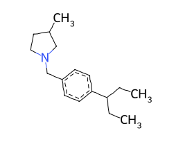 CCC(CC)c1ccc(CN2CCC(C)C2)cc1